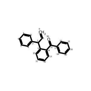 C=CC(c1ccccc1)c1ccccc1C(=O)c1ccccc1